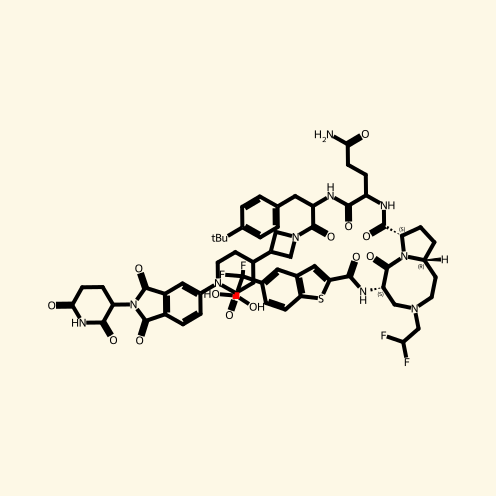 CC(C)(C)c1ccc(CC(NC(=O)C(CCC(N)=O)NC(=O)[C@@H]2CC[C@@H]3CCN(CC(F)F)C[C@H](NC(=O)c4cc5cc(C(F)(F)P(=O)(O)O)ccc5s4)C(=O)N32)C(=O)N2CC(C3CCN(c4ccc5c(c4)C(=O)N(C4CCC(=O)NC4=O)C5=O)CC3)C2)cc1